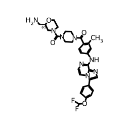 Cc1cc(Nc2nccn3c(-c4ccc(OC(F)F)cc4)cnc23)ccc1C(=O)N1CCN(C(=O)N2CCO[C@H](CN)C2)CC1